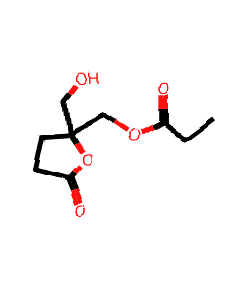 CCC(=O)OCC1(CO)CCC(=O)O1